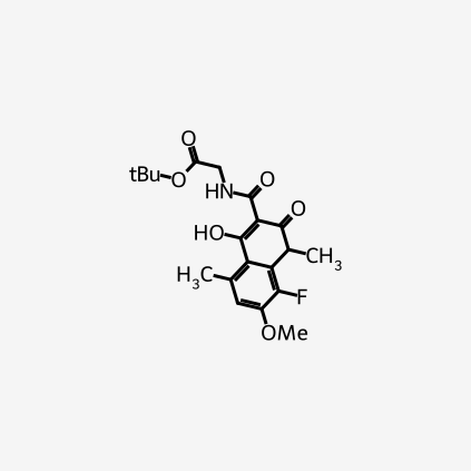 COc1cc(C)c2c(c1F)C(C)C(=O)C(C(=O)NCC(=O)OC(C)(C)C)=C2O